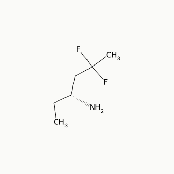 CC[C@@H](N)CC(C)(F)F